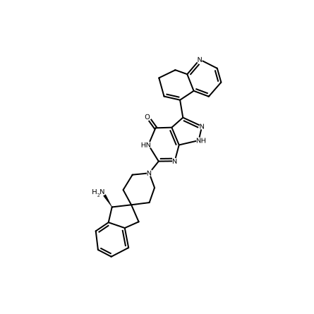 N[C@@H]1c2ccccc2CC12CCN(c1nc3[nH]nc(C4=CCCc5ncccc54)c3c(=O)[nH]1)CC2